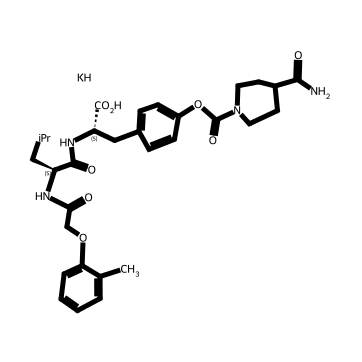 Cc1ccccc1OCC(=O)N[C@@H](CC(C)C)C(=O)N[C@@H](Cc1ccc(OC(=O)N2CCC(C(N)=O)CC2)cc1)C(=O)O.[KH]